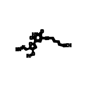 C#CCCCCC#Cc1cn([C@H]2C[C@@H](OCC)[C@@H](CN=[N+]=[N-])O2)c(=O)[nH]c1=O